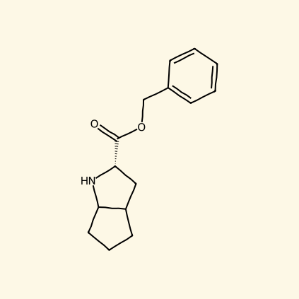 O=C(OCc1ccccc1)[C@@H]1CC2CCCC2N1